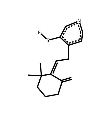 C=C1CCCC(C)(C)/C1=C/Cc1ccncc1SF